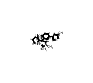 CN1C(=O)[C@]2(N=C1N)c1cc(-c3cncc(C#N)c3)ccc1O[C@H]1CCCO[C@@H]12